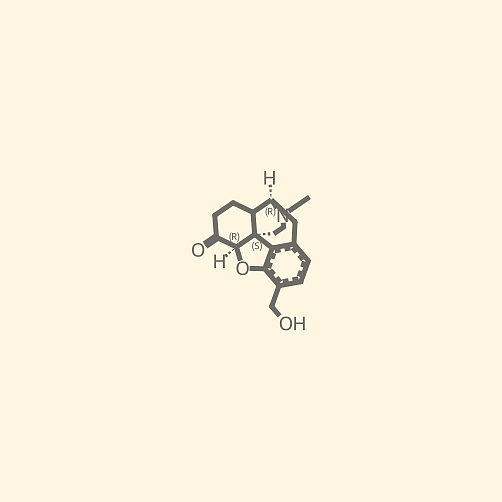 CN1CC[C@]23c4c5ccc(CO)c4O[C@H]2C(=O)CCC3[C@H]1C5